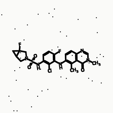 Cc1c(Nc2c(F)ccc(NS(=O)(=O)N3CC4CC4(F)C3)c2Cl)ccc2ncn(C)c(=O)c12